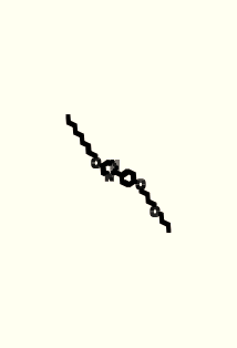 CCCCCC/C=C/COc1cnc(-c2ccc(OCCCCOCCCC)cc2)nc1